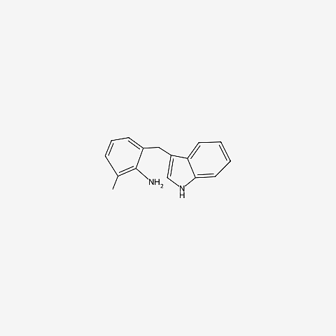 Cc1cccc(Cc2c[nH]c3ccccc23)c1N